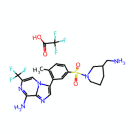 Cc1ccc(S(=O)(=O)N2CCCC(CN)C2)cc1-c1cnc2c(N)nc(C(F)(F)F)cn12.O=C(O)C(F)(F)F